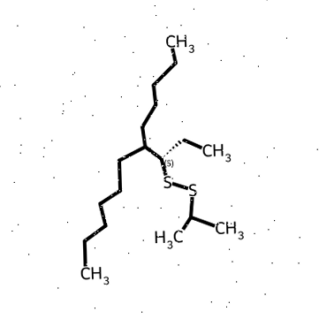 CCCCCCC(CCCCC)[C@H](CC)SSC(C)C